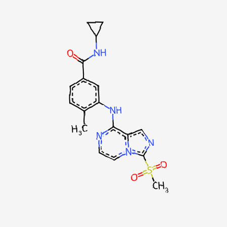 Cc1ccc(C(=O)NC2CC2)cc1Nc1nccn2c(S(C)(=O)=O)ncc12